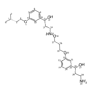 CC(C)CCOc1cccc(C(O)CCNOCCCOc2cccc(C(O)CCN)c2)c1